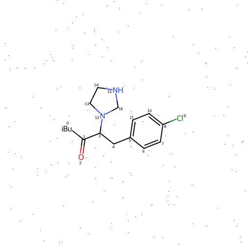 CCC(C)C(=O)C(Cc1ccc(Cl)cc1)N1CCNC1